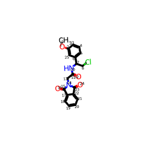 COc1cccc(C(CCl)NC(=O)CN2C(=O)c3ccccc3C2=O)c1